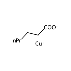 CCCCCC(=O)[O-].[Cu+]